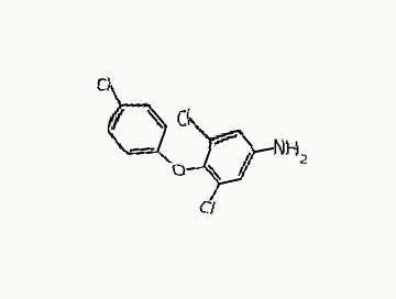 Nc1cc(Cl)c(Oc2ccc(Cl)cc2)c(Cl)c1